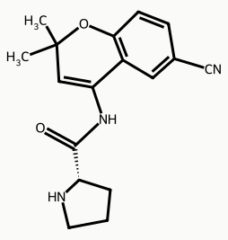 CC1(C)C=C(NC(=O)[C@@H]2CCCN2)c2cc(C#N)ccc2O1